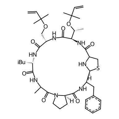 C=CC(C)(C)OC[C@@H]1NC(=O)[C@@H]([C@@H](C)OC(C)(C)C=C)NC(=O)C2CS[C@H](N2)C(Cc2ccccc2)NC(=O)[C@H]2CCCN2C(=O)C(C)NC(=O)[C@H]([C@@H](C)CC)NC1=O